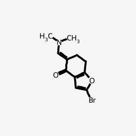 CN(C)C=C1CCc2oc(Br)cc2C1=O